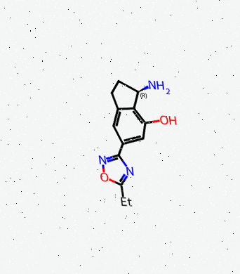 CCc1nc(-c2cc(O)c3c(c2)CC[C@H]3N)no1